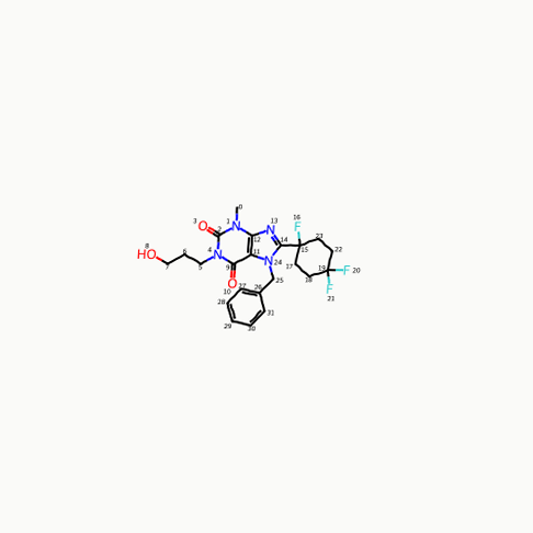 Cn1c(=O)n(CCCO)c(=O)c2c1nc(C1(F)CCC(F)(F)CC1)n2Cc1ccccc1